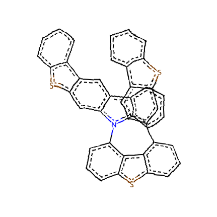 c1ccc2c(c1)sc1cc(-c3cccc4sc5cccc(-n6c7ccccc7c7cc8c(cc76)sc6ccccc68)c5c34)ccc12